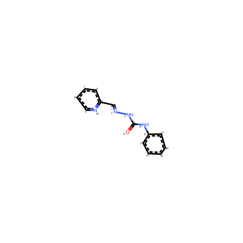 O=C(N/N=C/c1ccccn1)Nc1ccccc1